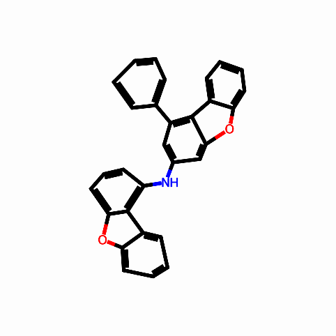 c1ccc(-c2cc(Nc3cccc4oc5ccccc5c34)cc3oc4ccccc4c23)cc1